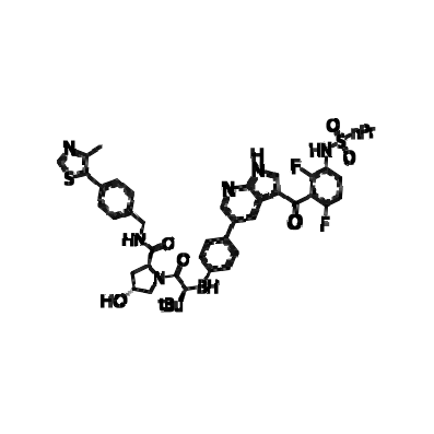 CCCS(=O)(=O)Nc1ccc(F)c(C(=O)c2c[nH]c3ncc(-c4ccc(B[C@H](C(=O)N5C[C@H](O)C[C@H]5C(=O)NCc5ccc(-c6scnc6C)cc5)C(C)(C)C)cc4)cc23)c1F